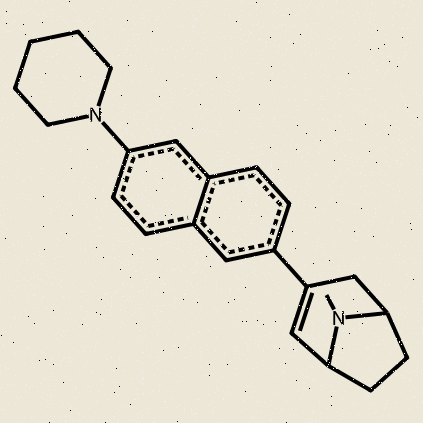 CN1C2C=C(c3ccc4cc(N5CCCCC5)ccc4c3)CC1CC2